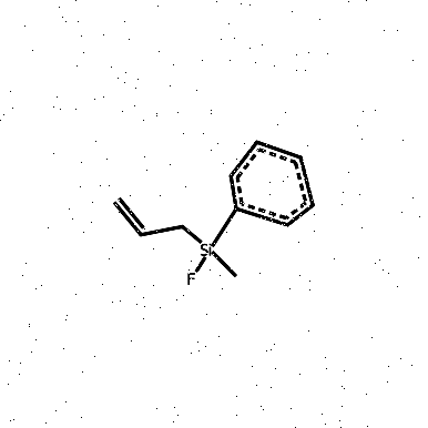 C=CC[Si](C)(F)c1ccccc1